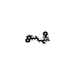 C=C\C(=C/C=C\C=C(\C)CC/C=c1\c(=C)ccc2ccccc12)c1nc(C)nc(-c2ccccc2)n1